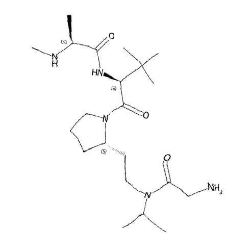 CN[C@@H](C)C(=O)N[C@H](C(=O)N1CCC[C@H]1CCN(C(=O)CN)C(C)C)C(C)(C)C